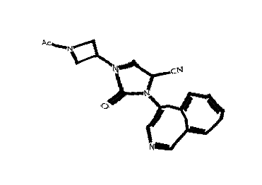 CC(=O)N1CC(N2CC(C#N)N(c3cncc4ccccc34)C2=O)C1